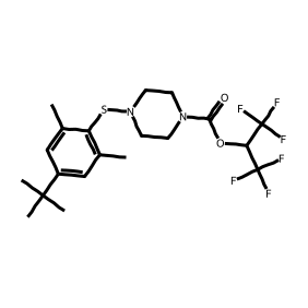 Cc1cc(C(C)(C)C)cc(C)c1SN1CCN(C(=O)OC(C(F)(F)F)C(F)(F)F)CC1